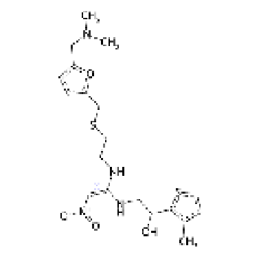 Cc1ccsc1C(O)CN/C(=C\[N+](=O)[O-])NCCSCc1ccc(CN(C)C)o1